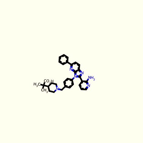 CC(C)(C(=O)O)C1CCN(Cc2ccc(-n3c(-c4cccnc4N)nc4ccc(-c5ccccc5)nc43)cc2)CC1